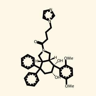 COc1ccc(OC)c([C@@]2(O)[C@H](O)CC(c3ccccc3)(c3ccccc3)[C@@H]3CN(C(=O)CCCn4ccnc4)C[C@@H]32)c1